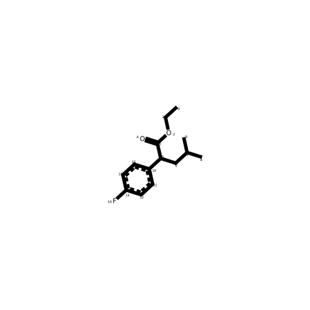 CCOC(=O)C(CC(C)C)c1ccc(F)cc1